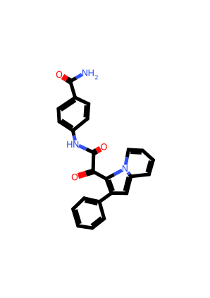 NC(=O)c1ccc(NC(=O)C(=O)c2c(-c3ccccc3)cc3ccccn23)cc1